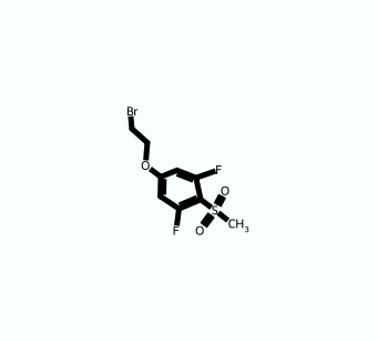 CS(=O)(=O)c1c(F)cc(OCCBr)cc1F